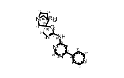 c1cc(-c2cc(NC3=NC[C@@]4(CN5CC[C@@H]4C5)O3)ncn2)ccn1